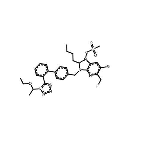 CCCCC1N(Cc2ccc(-c3ccccc3-c3nnnn3C(C)OCC)cc2)c2nc(CF)c(Br)cc2N1OS(C)(=O)=O